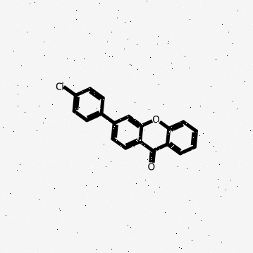 O=c1c2ccccc2oc2cc(-c3ccc(Cl)cc3)ccc12